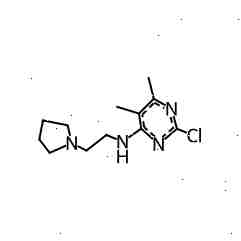 Cc1nc(Cl)nc(NCCN2CCCC2)c1C